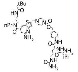 CCCN(CCCNC(=O)CC(C)(C)C)C(=O)C1=Cc2sc(CN3CCN(C(=O)OCc4ccc(NC(=O)[C@H](CCCNC(N)=O)NC(=O)C(N)C(C)C)cc4)CC3)cc2N=C(N)C1